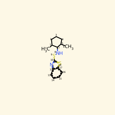 CC1CCCC(C)C1NSc1nc2ccccc2s1